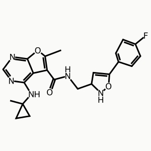 Cc1oc2ncnc(NC3(C)CC3)c2c1C(=O)NCC1C=C(c2ccc(F)cc2)ON1